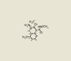 CNC(=O)C(=NOC)c1cccc(C)c1CON